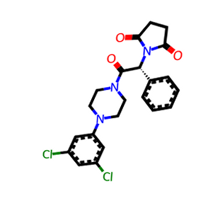 O=C([C@@H](c1ccccc1)N1C(=O)CCC1=O)N1CCN(c2cc(Cl)cc(Cl)c2)CC1